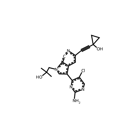 CC(C)(O)Cn1cc(-c2nc(N)ncc2Cl)c2cc(C#CC3(O)CC3)ncc21